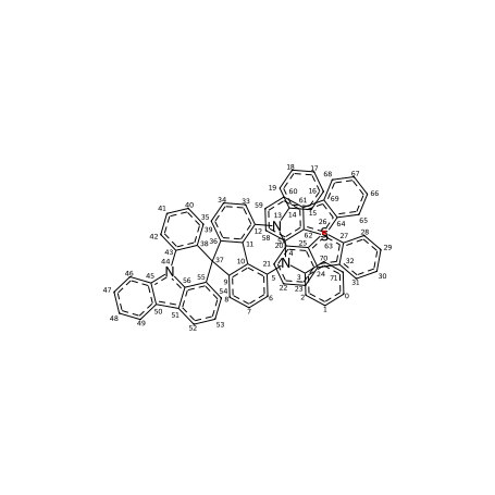 c1ccc(N(c2cccc3c2-c2c(N(c4ccccc4)c4cccc5c4sc4ccccc45)cccc2C32c3ccccc3-n3c4ccccc4c4cccc2c43)c2cccc3c2sc2ccccc23)cc1